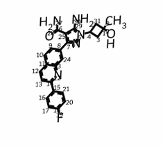 CC1(O)CC(n2nc(-c3ccc4ccc(-c5ccc(F)cc5)nc4c3)c(C(N)=O)c2N)C1